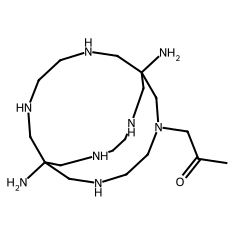 CC(=O)CN1CCNCC2(N)CNCCNCC(N)(CNCCNC2)C1